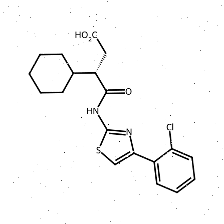 O=C(O)C[C@H](C(=O)Nc1nc(-c2ccccc2Cl)cs1)C1CCCCC1